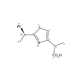 CC(C(=O)O)c1csc([C@@H](C)C(C)C)n1